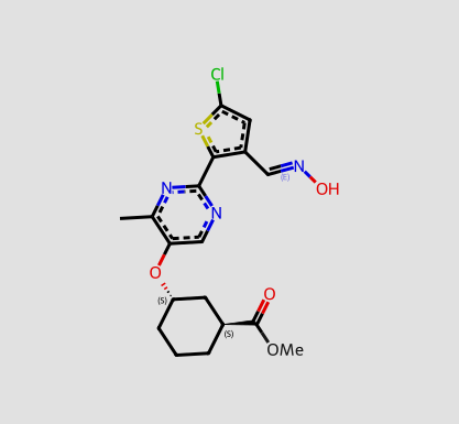 COC(=O)[C@H]1CCC[C@H](Oc2cnc(-c3sc(Cl)cc3/C=N/O)nc2C)C1